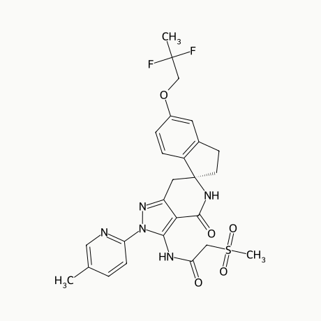 Cc1ccc(-n2nc3c(c2NC(=O)CS(C)(=O)=O)C(=O)N[C@@]2(CCc4cc(OCC(C)(F)F)ccc42)C3)nc1